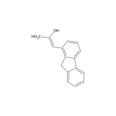 O=C(O)/C(O)=C/c1cccc2c1Cc1ccccc1-2